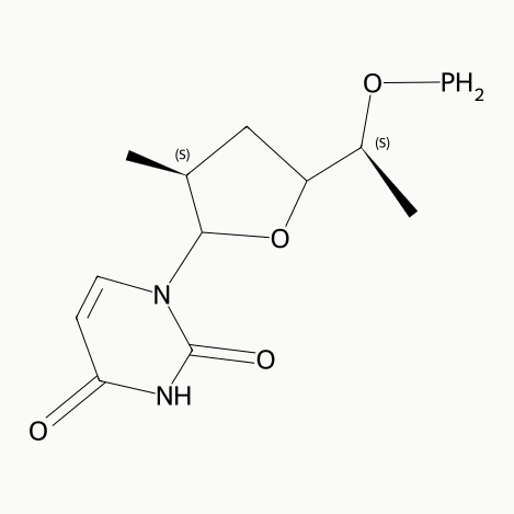 C[C@H](OP)C1C[C@H](C)C(n2ccc(=O)[nH]c2=O)O1